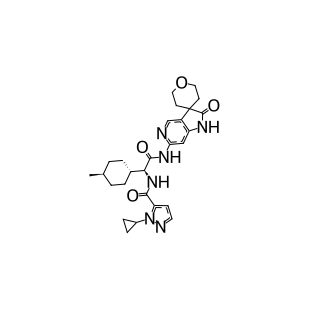 C[C@H]1CC[C@H]([C@H](NC(=O)c2ccnn2C2CC2)C(=O)Nc2cc3c(cn2)C2(CCOCC2)C(=O)N3)CC1